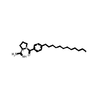 CCCCCCCCCCCCc1ccc(C(=O)N2CCC[C@@H]2C(=N)N)cc1